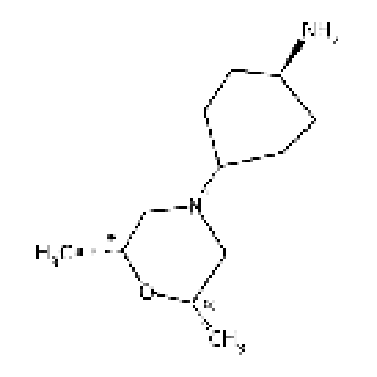 C[C@@H]1CN([C@H]2CC[C@H](N)CC2)C[C@H](C)O1